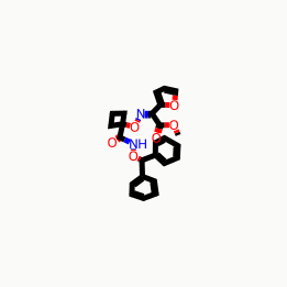 COC(=O)C(=NOC1(C(=O)NOC(c2ccccc2)c2ccccc2)CCC1)c1ccco1